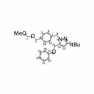 COCOCc1ccc(Cn2nc(C(C)(C)C)cc2COc2ccccc2)cc1